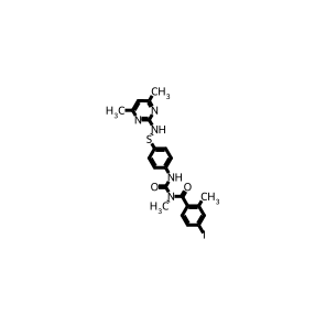 Cc1cc(C)nc(NSc2ccc(NC(=O)N(C)C(=O)c3ccc(I)cc3C)cc2)n1